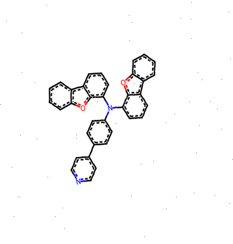 c1ccc2c(c1)oc1c(N(c3ccc(-c4ccncc4)cc3)c3cccc4c3oc3ccccc34)cccc12